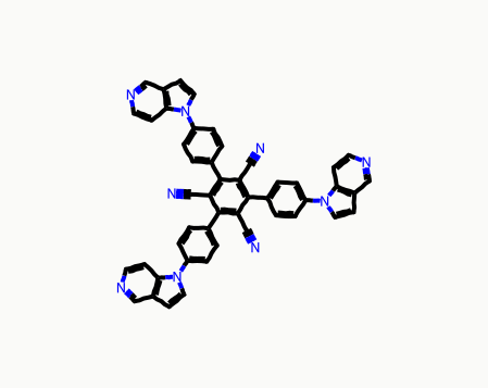 N#Cc1c(-c2ccc(-n3ccc4cnccc43)cc2)c(C#N)c(-c2ccc(-n3ccc4cnccc43)cc2)c(C#N)c1-c1ccc(-n2ccc3cnccc32)cc1